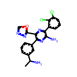 CC(N)c1cccc(-c2nc(N)c(-c3cccc(Cl)c3Cl)nc2-c2nnco2)c1